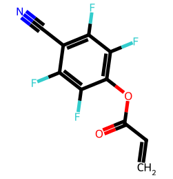 C=CC(=O)Oc1c(F)c(F)c(C#N)c(F)c1F